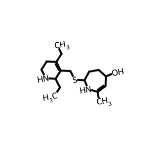 CCC1=C(CSC2CCC(O)C=C(C)N2)C(CC)NCC1